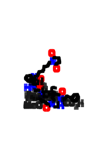 CC[C@H](C)[C@@H]([C@@H](CC(=O)N1CCC[C@H]1[C@H](OC)[C@@H](C)C(=O)N[C@@H](Cc1ccccc1)C(=O)O)OC)N(C)C(=O)[C@@H](NC(=O)[C@@H]1C2CCC([C@H]2C)N1C(=O)CCCCCN1C(=O)C=CC1=O)C(C)C